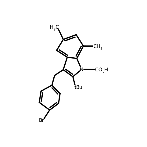 Cc1cc(C)c2c(c1)c(Cc1ccc(Br)cc1)c(C(C)(C)C)n2C(=O)O